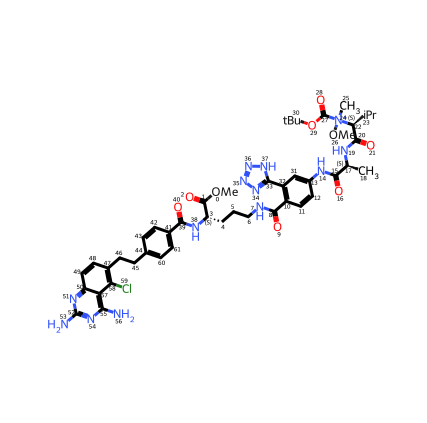 COC(=O)[C@H](CCCNC(=O)c1ccc(NC(=O)[C@H](C)NC(=O)[C@H](C(C)C)[N+](C)(OC)C(=O)OC(C)(C)C)cc1-c1nnn[nH]1)NC(=O)c1ccc(CCc2ccc3nc(N)nc(N)c3c2Cl)cc1